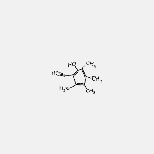 C#Cc1c(O)c(C)c(C)c(C)c1[SiH3]